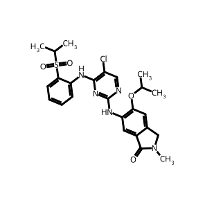 CC(C)Oc1cc2c(cc1Nc1ncc(Cl)c(Nc3ccccc3S(=O)(=O)C(C)C)n1)C(=O)N(C)C2